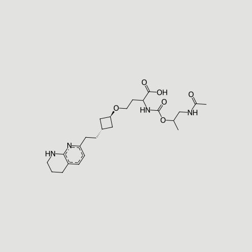 CC(=O)NCC(C)OC(=O)NC(CCO[C@H]1C[C@H](CCc2ccc3c(n2)NCCC3)C1)C(=O)O